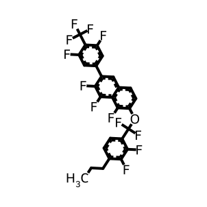 CCCc1ccc(C(F)(F)Oc2ccc3cc(-c4cc(F)c(C(F)(F)F)c(F)c4)c(F)c(F)c3c2F)c(F)c1F